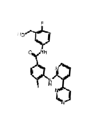 Cc1ccc(C(=O)Nc2ccc(F)c(CO)c2)cc1Nc1ncccc1-c1ccncn1